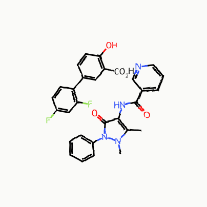 Cc1c(NC(=O)c2cccnc2)c(=O)n(-c2ccccc2)n1C.O=C(O)c1cc(-c2ccc(F)cc2F)ccc1O